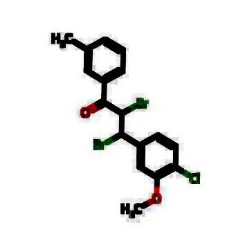 COc1cc(C(Br)C(Br)C(=O)c2cccc(C)c2)ccc1Cl